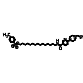 Cc1ccc(S(=O)(=O)OCCCCCCCCCCCCCCCNC(=O)c2ccc(N3CCN(CC(C)C)CC3)nc2)cc1